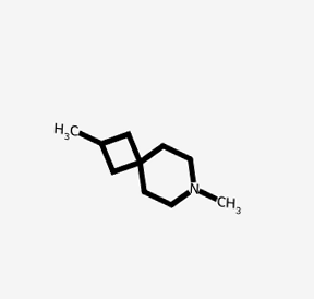 CC1CC2(CCN(C)CC2)C1